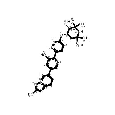 Cc1nc2ccc(-c3cnc(-c4ccc(O[C@H]5CC(C)(C)NC(C)(C)[C@H]5F)nn4)c(O)c3)cn2n1